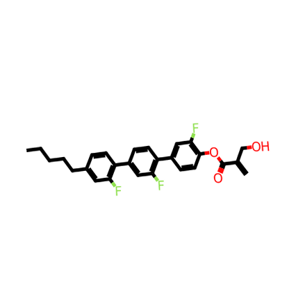 C=C(CO)C(=O)Oc1ccc(-c2ccc(-c3ccc(CCCCC)cc3F)cc2F)cc1F